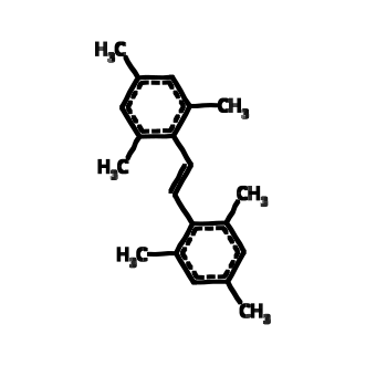 Cc1cc(C)c(/C=C/c2c(C)cc(C)cc2C)c(C)c1